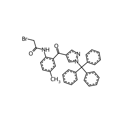 Cc1ccc(NC(=O)CBr)c(C(=O)c2cnn(C(c3ccccc3)(c3ccccc3)c3ccccc3)c2)c1